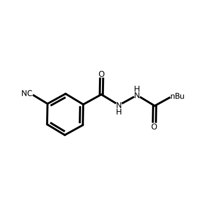 CCCCC(=O)NNC(=O)c1cccc(C#N)c1